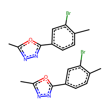 Cc1nnc(-c2ccc(C)c(Br)c2)o1.Cc1nnc(-c2ccc(C)c(Br)c2)o1